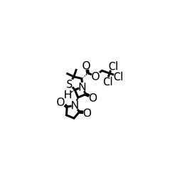 CC1(C)S[C@@H]2[C@H](N3C(=O)CCC3=O)C(=O)N2[C@H]1C(=O)OCC(Cl)(Cl)Cl